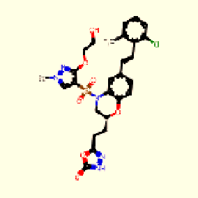 CCn1cc(S(=O)(=O)N2C[C@H](CCc3n[nH]c(=O)o3)Oc3ccc(/C=C/c4c(Cl)cccc4C(F)(F)F)cc32)c(OCCO)n1